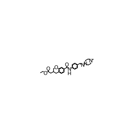 CCOC(=O)CC1COc2cc(C(=O)Nc3ccc(C=NN4CCN(C)CC4)cc3)ccc2C1